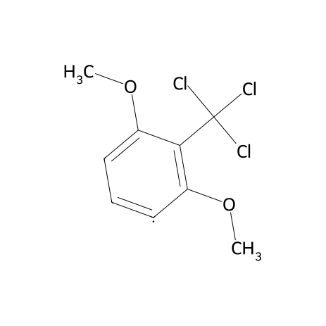 COc1[c]ccc(OC)c1C(Cl)(Cl)Cl